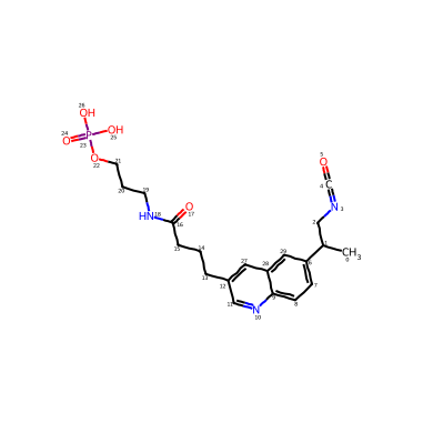 CC(CN=C=O)c1ccc2ncc(CCCC(=O)NCCCOP(=O)(O)O)cc2c1